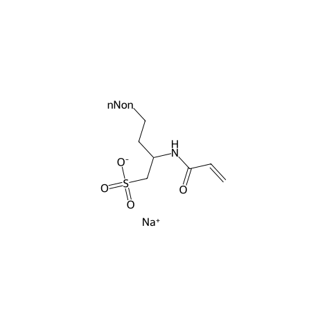 C=CC(=O)NC(CCCCCCCCCCC)CS(=O)(=O)[O-].[Na+]